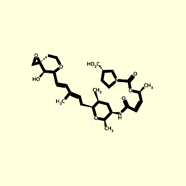 CC(/C=C/C1OCC[C@@]2(CO2)[C@@H]1O)=C\C[C@@H]1O[C@H](C)[C@H](NC(=O)/C=C\[C@H](C)OC(=O)N2CC[C@H](C(=O)O)C2)C[C@@H]1C